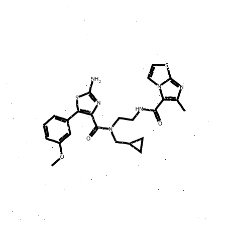 COc1cccc(-c2sc(N)nc2C(=O)N(CCNC(=O)c2c(C)nc3sccn23)CC2CC2)c1